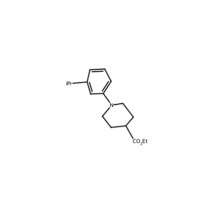 CCOC(=O)C1CCN(c2cccc(C(C)C)c2)CC1